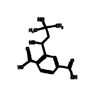 CC(C)(O)CC(O)c1cc(C(=O)O)ccc1C(=O)O